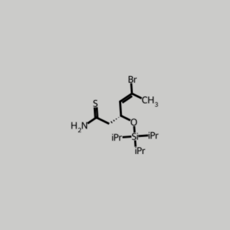 C/C(Br)=C\[C@@H](CC(N)=S)O[Si](C(C)C)(C(C)C)C(C)C